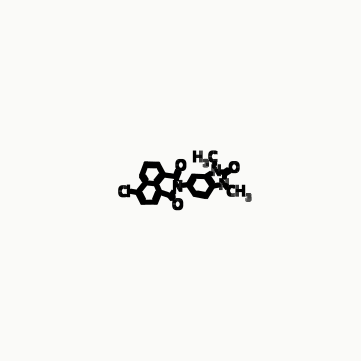 Cn1c(=O)n(C)c2cc(N3C(=O)c4cccc5c(Cl)ccc(c45)C3=O)ccc21